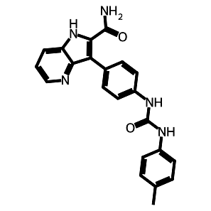 Cc1ccc(NC(=O)Nc2ccc(-c3c(C(N)=O)[nH]c4cccnc34)cc2)cc1